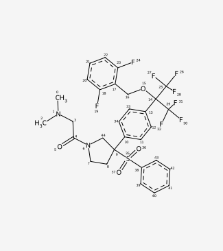 CN(C)CC(=O)N1CCC(c2ccc(C(OCc3c(F)cccc3F)(C(F)(F)F)C(F)(F)F)cc2)(S(=O)(=O)c2ccccc2)C1